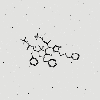 CC(=CO[SiH](C)C)C(CC(=O)[C@@H](Cc1ccccc1)C[C@H]([C@H](Cc1ccccc1)NC(=O)OC(C)(C)C)C(C)(C)C)c1c[nH]c(COCc2ccccc2)n1